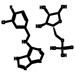 Fc1ccc(CNc2ncnc3nc[nH]c23)cc1Cl.O=P(O)(O)OC[C@H]1OC(O)[C@H](O)[C@@H]1O